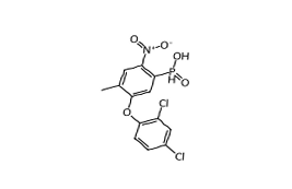 Cc1cc([N+](=O)[O-])c([PH](=O)O)cc1Oc1ccc(Cl)cc1Cl